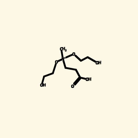 C[N+](CCC(=O)O)(OCCO)OCCO